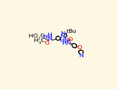 CC(NC(=O)O)C(=O)NCc1ccc(-n2nc(C(C)(C)C)cc2NC(=O)Nc2ccc(Oc3ccncc3)cc2)cc1